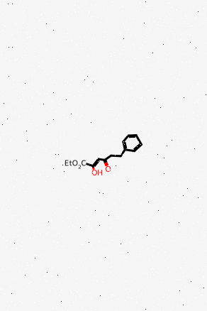 CCOC(=O)C(O)=CC(=O)CCc1ccccc1